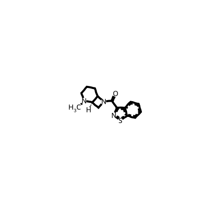 CN1CCCC2[C@H]1CN2C(=O)c1nsc2ccccc12